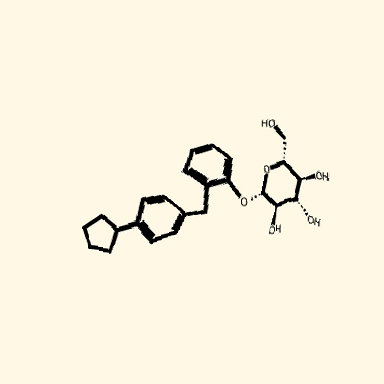 OC[C@H]1O[C@@H](Oc2ccccc2Cc2ccc(C3CCCC3)cc2)[C@H](O)[C@@H](O)[C@@H]1O